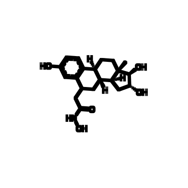 C[C@]12CC[C@@H]3c4ccc(O)cc4C(CC(=O)NO)C[C@H]3[C@@H]1C[C@@H](O)[C@@H]2O